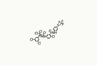 O=C(Nc1ccc(SCC(F)(F)F)cc1)c1cc(NC(=O)[C@@H]2[C@@H](c3cc(Cl)cc(Cl)c3)C2(Cl)Cl)ccc1Cl